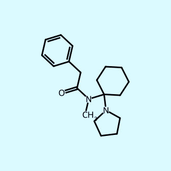 CN(C(=O)Cc1ccccc1)C1(N2CCCC2)CCCCC1